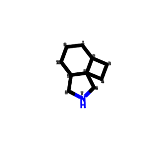 C1CC2CCC23CNCC3C1